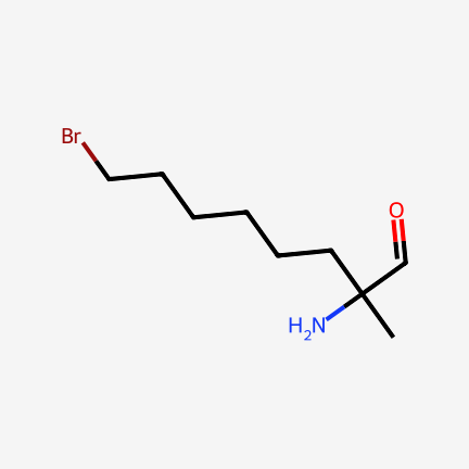 CC(N)(C=O)CCCCCCBr